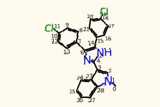 Cn1cc(-c2nc(-c3ccc(Cl)cc3)c(-c3ccc(Cl)cc3)[nH]2)c2ccccc21